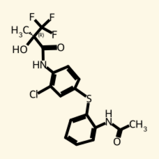 CC(=O)Nc1ccccc1Sc1ccc(NC(=O)[C@@](C)(O)C(F)(F)F)c(Cl)c1